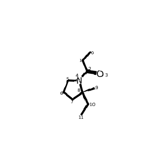 CCC(=O)N1CCC[C@@]1(C)CC